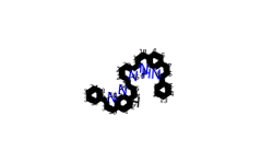 CN1c2c(ccc3c2NC(c2ccccc2)C=C3)C=CC1c1cccc(C2=NC3c4nc(-c5ccccc5)ccc4C=C[C@@H]3C=C2)n1